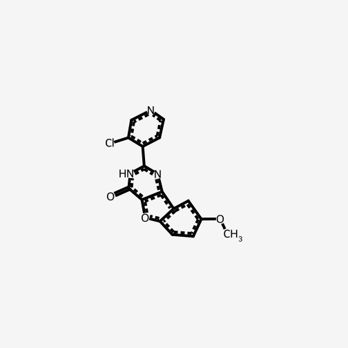 COc1ccc2oc3c(=O)[nH]c(-c4ccncc4Cl)nc3c2c1